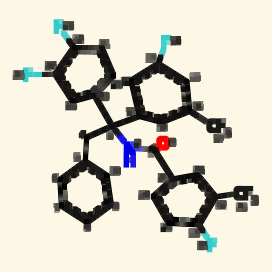 O=C(NC(Cc1ccccc1)(c1cc(F)cc(C(F)(F)F)c1)c1ccc(F)c(F)c1)c1ccc(F)c(C(F)(F)F)c1